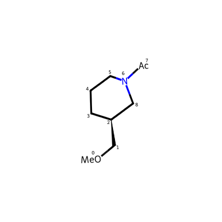 COC[C@H]1CCCN(C(C)=O)C1